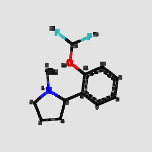 CC(C)(C)N1CCCC1c1ccccc1OC(F)F